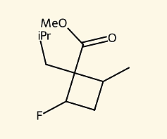 COC(=O)C1(CC(C)C)C(C)CC1F